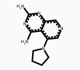 Nc1nc(N)c2c(N3CCCC3)cncc2n1